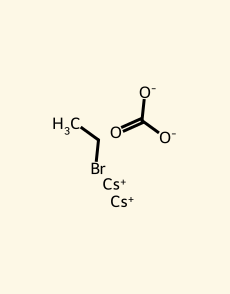 CCBr.O=C([O-])[O-].[Cs+].[Cs+]